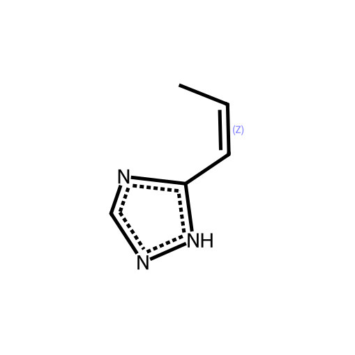 C/C=C\c1ncn[nH]1